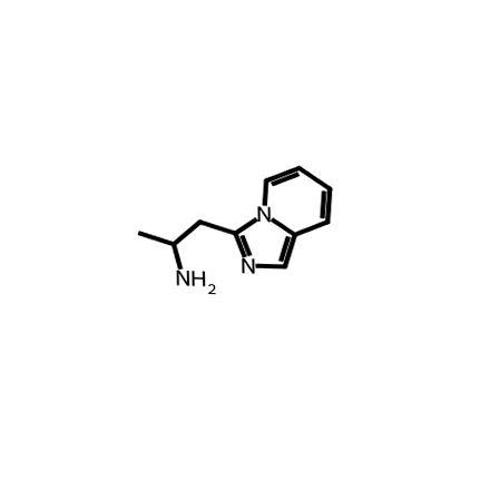 CC(N)Cc1ncc2ccccn12